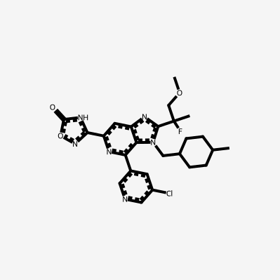 COCC(C)(F)c1nc2cc(-c3noc(=O)[nH]3)nc(-c3cncc(Cl)c3)c2n1CC1CCC(C)CC1